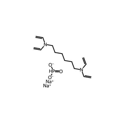 C=CN(C=C)CCCCCCN(C=C)C=C.O=[PH]([O-])[O-].[Na+].[Na+]